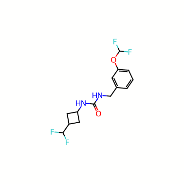 O=C(NCc1cccc(OC(F)F)c1)NC1CC(C(F)F)C1